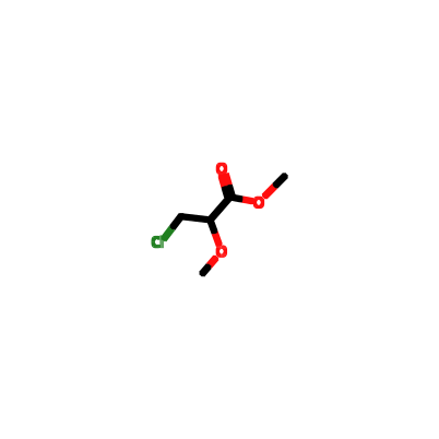 COC(=O)C(CCl)OC